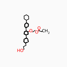 C=CC(=O)OCCOc1cc(-c2ccc(CCCO)cc2)ccc1-c1ccc(C2CCCCC2)cc1